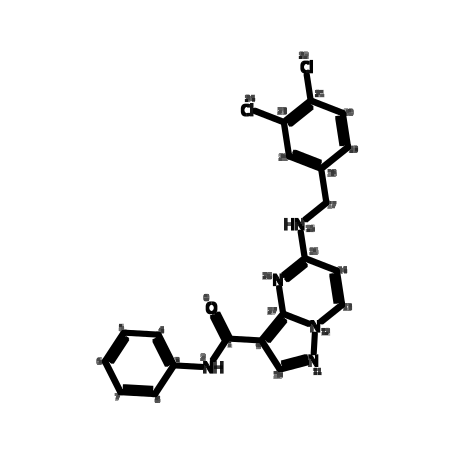 O=C(Nc1ccccc1)c1cnn2ccc(NCc3ccc(Cl)c(Cl)c3)nc12